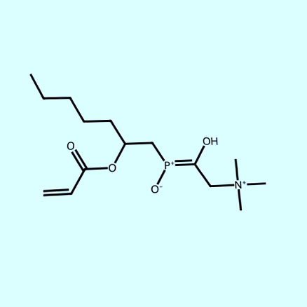 C=CC(=O)OC(CCCCC)C/[P+]([O-])=C(\O)C[N+](C)(C)C